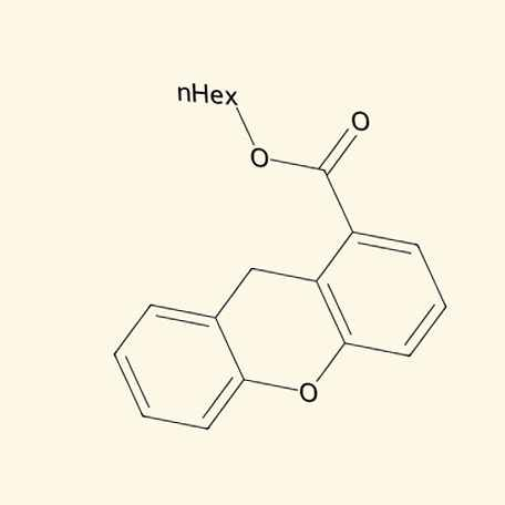 CCCCCCOC(=O)c1cccc2c1Cc1ccccc1O2